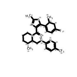 Cc1nc(C(=O)N2CCC[C@@H](C)C2CNc2ccc(C(F)(F)F)cn2)c(C2=CC=C(F)CC2C)s1